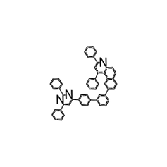 c1ccc(-c2cc(-c3ccc(-c4cccc(-c5ccc6ccc7nc(-c8ccccc8)cc(-c8ccccc8)c7c6c5)c4)cc3)nc(-c3ccccc3)n2)cc1